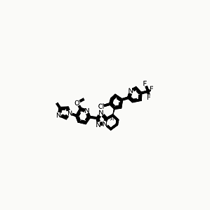 COc1nc(-c2nc3n(n2)CCC[C@@H]3c2cc(-c3ccc(C(F)(F)F)cn3)ccc2Cl)ccc1-n1cnc(C)c1